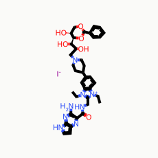 CCn1c(CNC(=O)c2nc3cc[nH]c3nc2N)[n+](CC)c2ccc(C3CCN(CC(O)C(O)[C@@H]4OC(c5ccccc5)OC[C@H]4O)CC3)cc21.[I-]